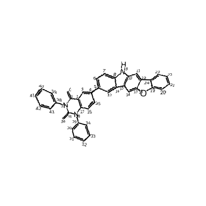 C=C1c2cc(-c3ccc4[nH]c5cc6c(cc5c4c3)oc3ccccc36)ccc2N(c2ccccc2)C(=C)N1c1ccccc1